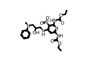 CCOC(=O)Nc1cc(NCC(O)CN(C)c2ccccc2)c([N+](=O)[O-])c(NC(=O)OCC)n1